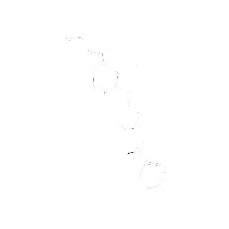 Cc1c(C(N)=O)sc2ncn(Cc3nc(C[C@H](O)c4ccc(F)cc4)no3)c(=O)c12